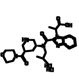 CC(C)CN(C(=O)c1nc2ccccc2n1C(C)C(=O)O)[C@@H]1CNC[C@H](C(=O)N2CCOCC2)C1.Cl.Cl